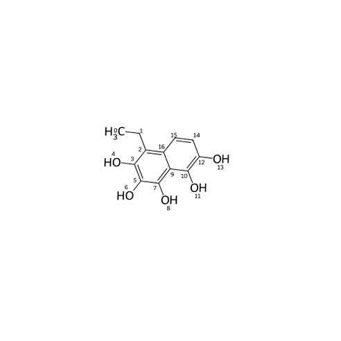 CCc1c(O)c(O)c(O)c2c(O)c(O)ccc12